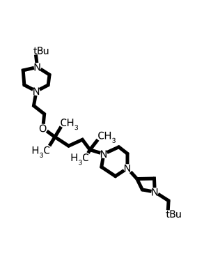 CC(C)(C)CN1CC(N2CCN(C(C)(C)CCC(C)(C)OCCN3CCN(C(C)(C)C)CC3)CC2)C1